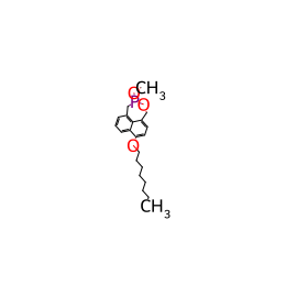 CCCCCCCCOc1ccc2c3c(cccc13)CP(OC)OC2